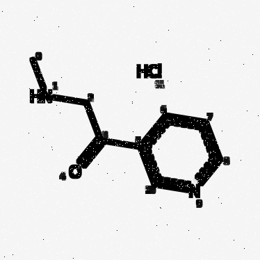 CNCC(=O)c1cccnc1.Cl